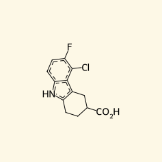 O=C(O)C1CCc2[nH]c3ccc(F)c(Cl)c3c2C1